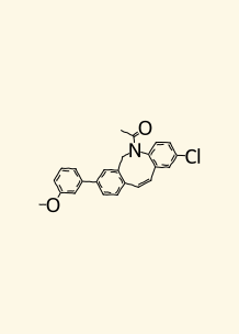 COc1cccc(-c2ccc3c(c2)CN(C(C)=O)c2ccc(Cl)cc2C=C3)c1